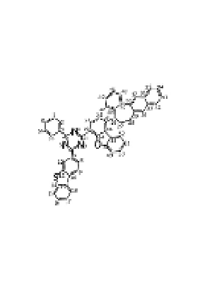 c1ccc(-c2nc(-c3ccc4c(c3)sc3ccccc34)nc(-c3ccc(C4CCc5cc6ccccc6cc5-c5ccccc54)c4c3oc3ccccc34)n2)cc1